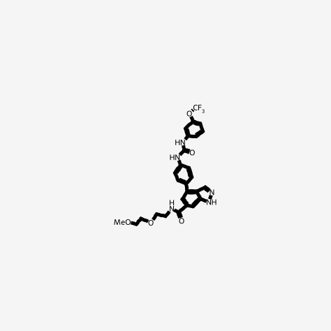 COCCOCCNC(=O)c1cc(-c2ccc(NC(=O)Nc3cccc(OC(F)(F)F)c3)cc2)c2cn[nH]c2c1